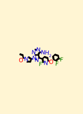 C=CC(=O)n1ccc(-n2nc(-c3ccc(Oc4cccc(F)c4F)nc3F)c3c(N)ncnc32)c1